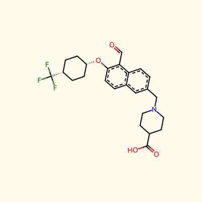 O=Cc1c(O[C@H]2CC[C@@H](C(F)(F)F)CC2)ccc2cc(CN3CCC(C(=O)O)CC3)ccc12